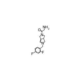 NCC(=O)N1CC2=CN(Cc3ccc(F)cc3F)CC2C1